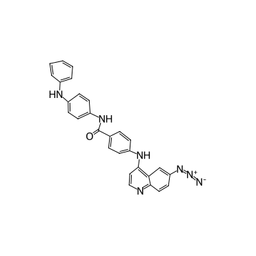 [N-]=[N+]=Nc1ccc2nccc(Nc3ccc(C(=O)Nc4ccc(Nc5ccccc5)cc4)cc3)c2c1